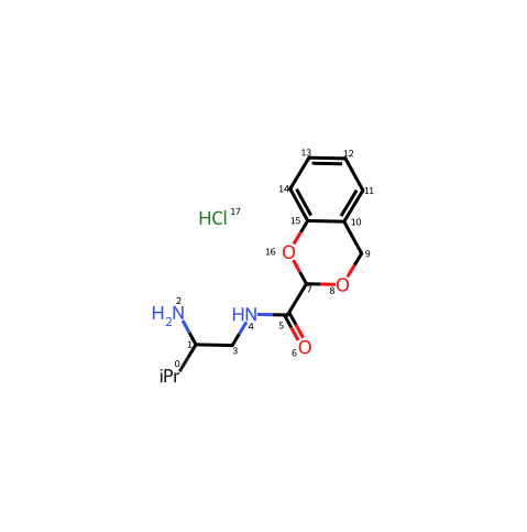 CC(C)C(N)CNC(=O)C1OCc2ccccc2O1.Cl